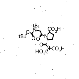 CC(C)(C)OC(=O)N(CC(=O)N1[C@@H](C(=O)N(C(=O)O)C(=O)O)CC[C@H]1C(=O)O)C(C)(C)C